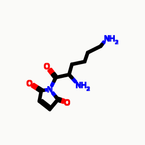 NCCCCC(N)C(=O)N1C(=O)C=CC1=O